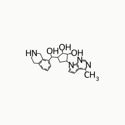 Cc1ncnc2c1ccn2C1CC(C(O)c2cccc3c2CNCC3)[C@@H](O)[C@H]1O